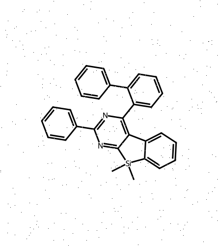 C[Si]1(C)c2ccccc2-c2c(-c3ccccc3-c3ccccc3)nc(-c3ccccc3)nc21